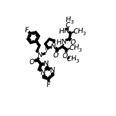 CN[C@@H](C)C(=O)N[C@H](C(=O)N1CCC[C@H]1CN(CCc1ccc(F)cc1)C(=O)c1cn2cc(F)cnc2n1)[C@@H](C)OC